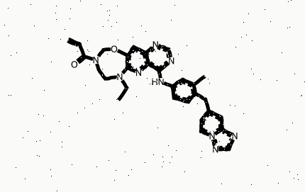 C=CC(=O)N1CCN(CC)c2nc3c(Nc4ccc(Cc5ccn6ncnc6c5)c(C)c4)ncnc3cc2OC1